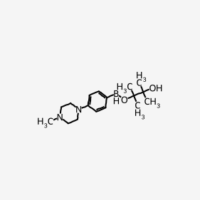 CN1CCN(c2ccc(BOC(C)(C)C(C)(C)O)cc2)CC1